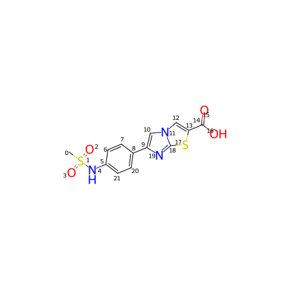 CS(=O)(=O)Nc1ccc(-c2cn3cc(C(=O)O)sc3n2)cc1